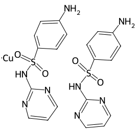 Nc1ccc(S(=O)(=O)Nc2ncccn2)cc1.Nc1ccc(S(=O)(=O)Nc2ncccn2)cc1.[Cu]